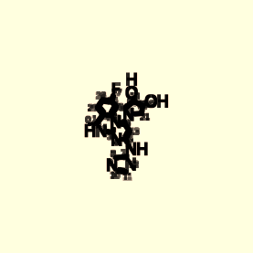 C[C@H](Nc1nc(Nc2cnccn2)cc(N2C[C@H](O)[C@@H](O)C2)n1)c1ccc(F)cc1